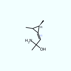 CC1/C(=C\C(C)(N)O)[C@@H]1C